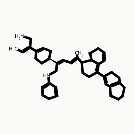 C/C=C(\CN)C1=CC[C@@H](/C(=C/C=C(\C)C2CCC(C3=CC4=C(CCCC4)CC3)=C3C=CCCC32)CNC2=CCCC=C2)CC1